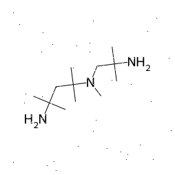 CN(CC(C)(C)N)C(C)(C)CC(C)(C)N